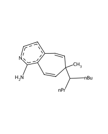 CCCCC(CCC)C1(C)C=Cc2ccnc(N)c2C=C1